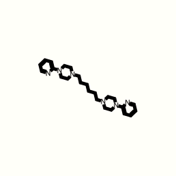 c1ccc(N2CCN(CCCCCCN3CCN(c4ccccn4)CC3)CC2)nc1